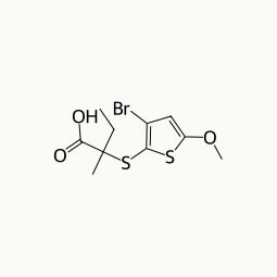 CCC(C)(Sc1sc(OC)cc1Br)C(=O)O